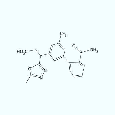 Cc1nnc(C(CC(=O)O)c2cc(-c3ccccc3C(N)=O)cc(C(F)(F)F)c2)o1